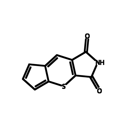 O=C1NC(=O)c2sc3cccc-3cc21